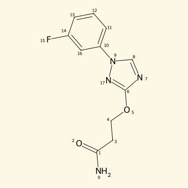 NC(=O)CCOc1ncn(-c2cccc(F)c2)n1